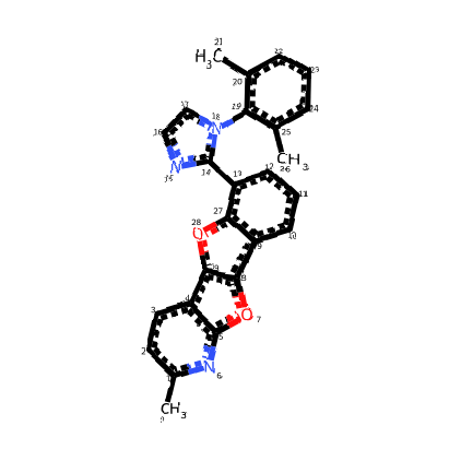 Cc1ccc2c(n1)oc1c3cccc(-c4nccn4-c4c(C)cccc4C)c3oc21